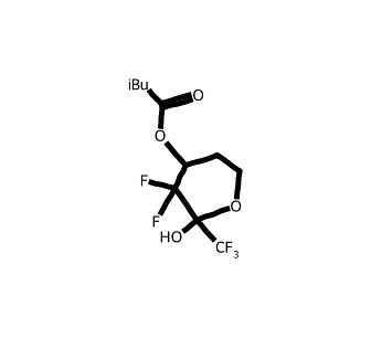 CCC(C)C(=O)OC1CCOC(O)(C(F)(F)F)C1(F)F